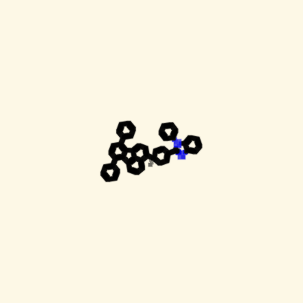 C[C@]1(c2ccc3c4c(cccc24)-c2c(-c4ccccc4)ccc(-c4ccccc4)c2-3)C=CC(c2nc3ccccc3n2-c2ccccc2)=CC1